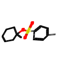 Cc1ccc(S(=O)(=O)OC2(C)CCCCC2)cc1